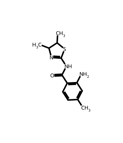 Cc1ccc(C(=O)NC2=NC(C)C(C)S2)c(N)c1